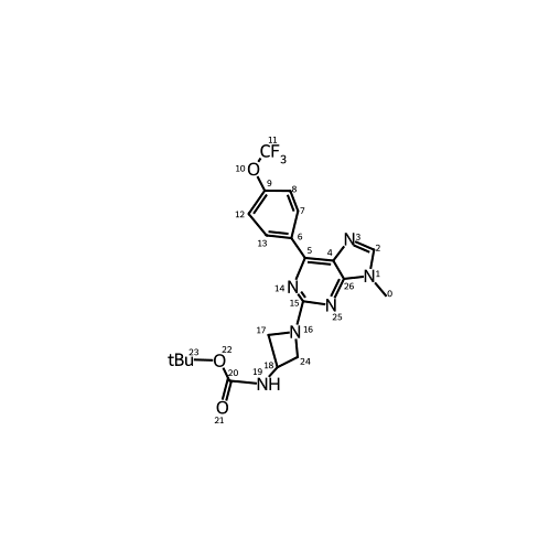 Cn1cnc2c(-c3ccc(OC(F)(F)F)cc3)nc(N3CC(NC(=O)OC(C)(C)C)C3)nc21